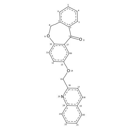 O=C1c2ccccc2COc2ccc(OCc3ccc4ccccc4n3)cc21